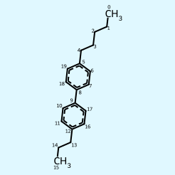 CCCCCc1ccc(-c2ccc(CCC)cc2)cc1